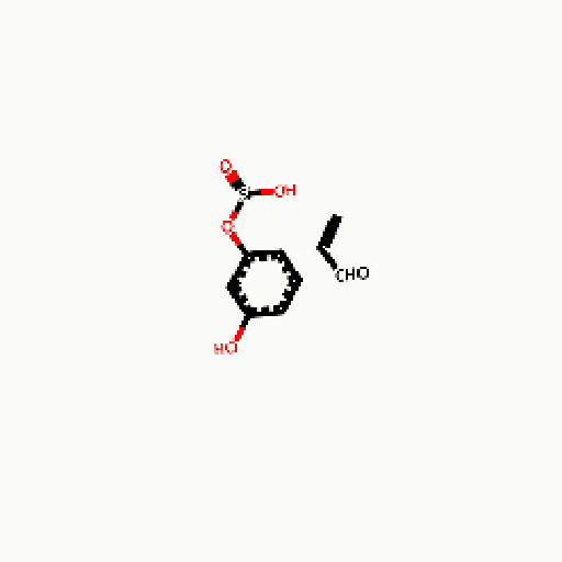 C=CC=O.O=[Si](O)Oc1cccc(O)c1